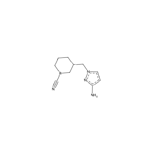 N#CB1CCCC(Cn2ccc(N)n2)C1